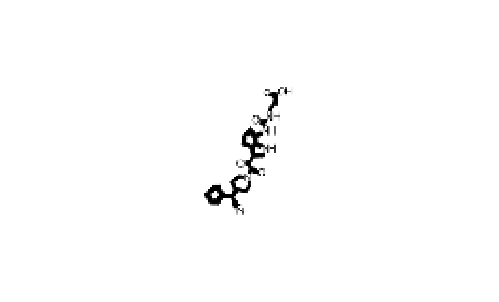 N#CC(=C1CCN(C(=O)C(=O)c2c[nH]c3c(NC(=O)NCCC(=O)O)cccc23)CC1)c1ccccc1